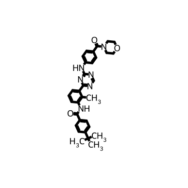 Cc1c(NC(=O)c2ccc(C(C)(C)C)cc2)cccc1-c1ncnc(Nc2ccc(C(=O)N3CCOCC3)cc2)n1